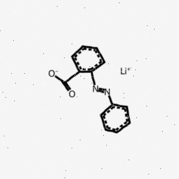 O=C([O-])c1ccccc1N=Nc1ccccc1.[Li+]